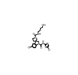 O=C(NCCCCO)N1CCC2(C1)CN(C(=O)Nc1ncc(Cl)s1)c1ccc(Cl)cc12